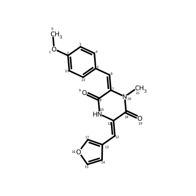 COc1ccc(C=c2c(=O)[nH]c(=Cc3ccoc3)c(=O)n2C)cc1